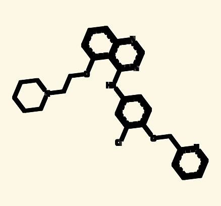 Clc1cc(Nc2ncnc3cccc(OCCN4CCCCC4)c23)ccc1OCc1ccccn1